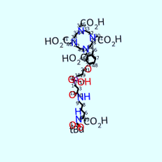 CC(C)(C)OC(=O)N[C@@H](CCCCNC(=O)CCP(=O)(O)CCCOc1ccc(C[C@H]2CN(CC(=O)O)CCN(CC(=O)O)CCN(CC(=O)O)CCN2CC(=O)O)cc1)C(=O)O